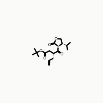 C=CC[C@H](CC(=O)OC(C)(C)C)C(=O)N1C(=O)OC[C@@H]1C(C)C